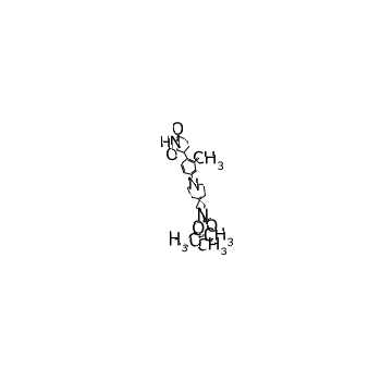 Cc1cc(N2CCC3(CC2)CN(C(=O)OC(C)(C)C)C3)ccc1C1CCC(=O)NC1=O